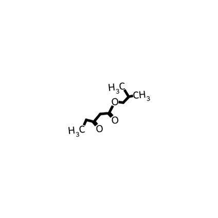 CCC(=O)CC(=O)OCC(C)C